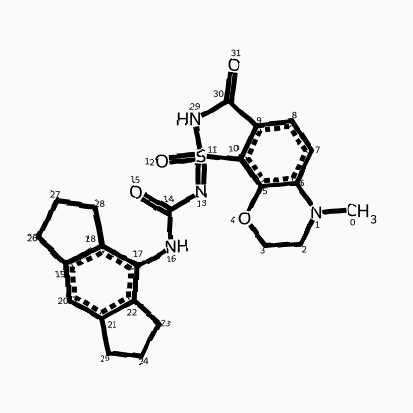 CN1CCOc2c1ccc1c2S(=O)(=NC(=O)Nc2c3c(cc4c2CCC4)CCC3)NC1=O